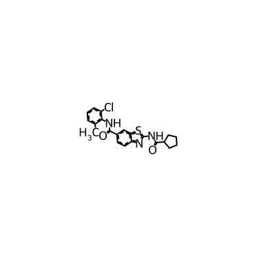 Cc1cccc(Cl)c1NC(=O)c1ccc2nc(NC(=O)C3CCCC3)sc2c1